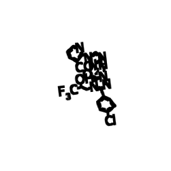 O=C(O)c1cccnc1-n1cnc(Cn2nc(-c3ccc(Cl)cc3)n(CC(O)C(F)(F)F)c2=O)n1